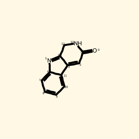 O=C1C=C2C(=Nc3ccccc32)CN1